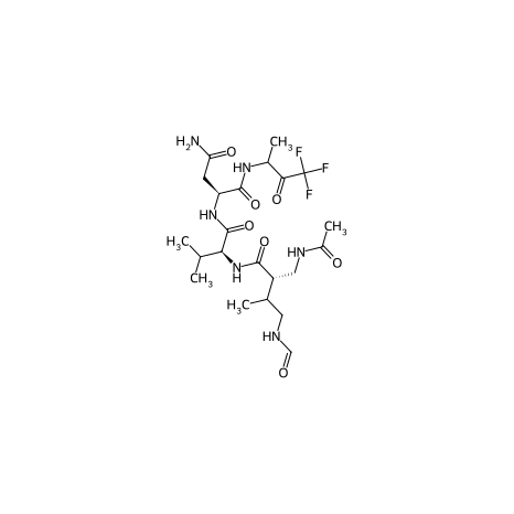 CC(=O)NC[C@@H](C(=O)N[C@H](C(=O)N[C@@H](CC(N)=O)C(=O)NC(C)C(=O)C(F)(F)F)C(C)C)C(C)CNC=O